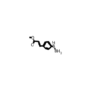 BBc1ccc(/C=C/C(=O)OC)cc1